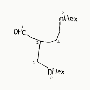 CCCCCCCC(C=O)CCCCCCC